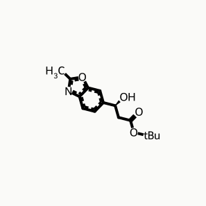 Cc1nc2ccc([C@@H](O)CC(=O)OC(C)(C)C)cc2o1